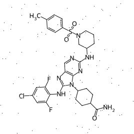 Cc1ccc(S(=O)(=O)N2CCCC(Nc3ncc4nc(Nc5c(F)cc(Cl)cc5F)n(C5CCC(C(N)=O)CC5)c4n3)C2)cc1